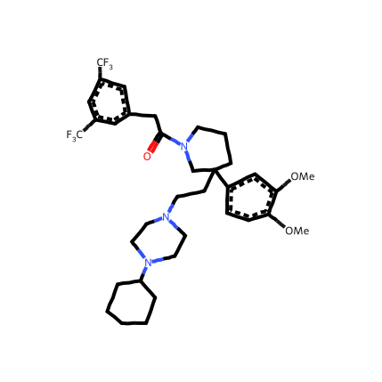 COc1ccc(C2(CCN3CCN(C4CCCCC4)CC3)CCCN(C(=O)Cc3cc(C(F)(F)F)cc(C(F)(F)F)c3)C2)cc1OC